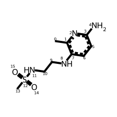 Cc1nc(N)ccc1NCCNS(C)(=O)=O